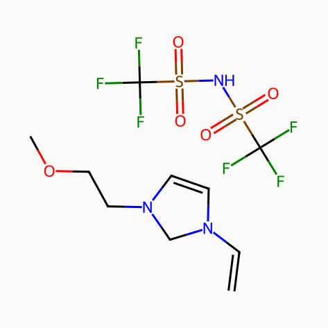 C=CN1C=CN(CCOC)C1.O=S(=O)(NS(=O)(=O)C(F)(F)F)C(F)(F)F